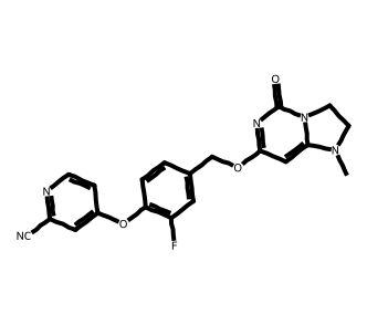 CN1CCn2c1cc(OCc1ccc(Oc3ccnc(C#N)c3)c(F)c1)nc2=O